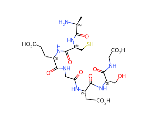 C[C@H](N)C(=O)N[C@@H](CS)C(=O)N[C@@H](CCC(=O)O)C(=O)NCC(=O)N[C@@H](CC(=O)O)C(=O)N[C@@H](CO)C(=O)NCC(=O)O